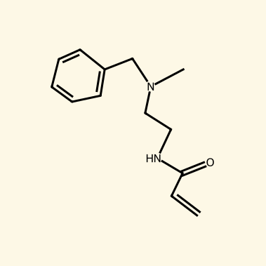 C=CC(=O)NCCN(C)Cc1ccccc1